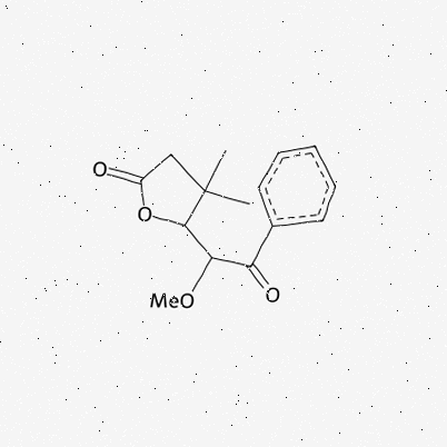 COC(C(=O)c1ccccc1)C1OC(=O)CC1(C)C